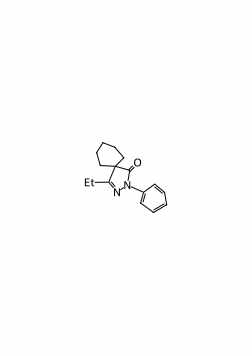 CCC1=NN(c2ccccc2)C(=O)C12CCCCC2